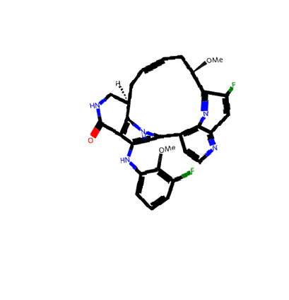 COc1c(F)cccc1Nc1c2[nH]c3c1C(=O)NC[C@H]3C/C=C\C[C@@H](OC)c1nc3c-2ccnc3cc1F